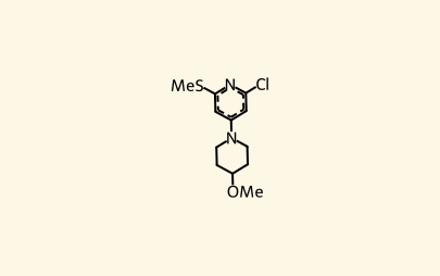 COC1CCN(c2cc(Cl)nc(SC)c2)CC1